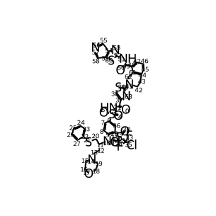 O=C(NS(=O)(=O)c1ccc(N[C@H](CCN2CCOCC2)CSc2ccccc2)c(S(=O)(=O)C(F)(F)Cl)c1)c1csc(N2CCc3cccc(C(=O)Nc4nc5cnccc5s4)c3C2)n1